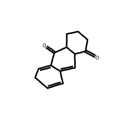 O=C1CCCC2C(=O)C3=CCC=CC3=CC12